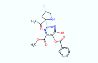 COC(=O)c1nc([C@]2(C(C)=O)C[C@H](F)CN2)nc(O)c1OC(=O)c1ccccc1